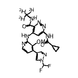 [2H]C([2H])([2H])NC(=O)c1nnc(NC(=O)C2CC2)cc1Nc1nccc(-c2cnn(C(F)F)c2)c1OC